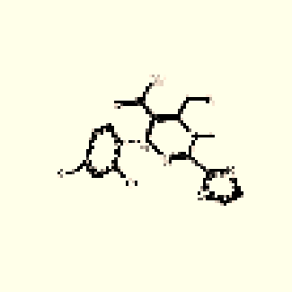 CN1C(c2nccs2)=N[C@H](c2ccc(Cl)cc2Cl)C(C(=O)O)=C1CBr